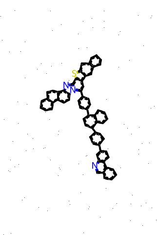 c1ccc2cc3c(cc2c1)sc1c3cc(-c2ccc(-c3ccc(-c4ccc(-c5ccc6c(c5)ncc5ccccc56)cc4)c4ccccc34)cc2)n2c3ccc4c5ccccc5ccc4c3nc12